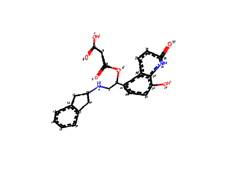 O=C(O)CC(=O)OC(CNC1Cc2ccccc2C1)c1ccc(O)c2[nH]c(=O)ccc12